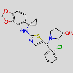 O[C@H]1CCN(C(c2cnc(NC3(c4ccc5c(c4)OCO5)CC3)s2)c2ccccc2Cl)C1